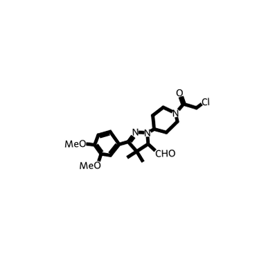 COc1ccc(C2=NN(C3CCN(C(=O)CCl)CC3)C(C=O)C2(C)C)cc1OC